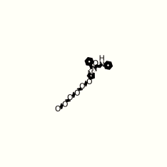 COCCOCCOCCOCCOCCO[C@H]1CCN(C[C@H](c2ccccc2)N(C)C(=O)CNc2ccccc2)C1